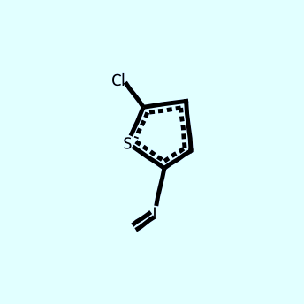 C=Ic1ccc(Cl)s1